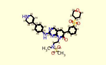 CN(CCn1c(=O)c(-c2cccc(S(=O)(=O)C3CCOCC3)c2)cc2cnc(Nc3ccc(C4=CCNCC4)cc3)nc21)S(C)(=O)=O